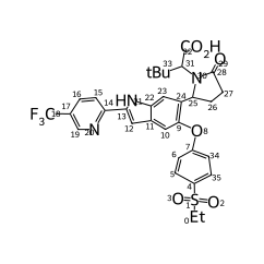 CCS(=O)(=O)c1ccc(Oc2cc3cc(-c4ccc(C(F)(F)F)cn4)[nH]c3cc2C2CCC(=O)N2C(C(=O)O)C(C)(C)C)cc1